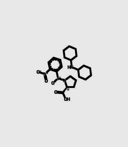 C1CCC(NC2CCCCC2)CC1.O=C(O)[C@@H]1CCCN1[S+]([O-])c1ccccc1[N+](=O)[O-]